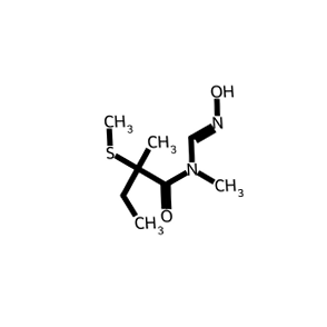 CCC(C)(SC)C(=O)N(C)C=NO